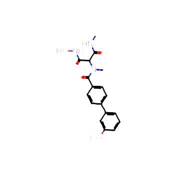 CNC(=O)C(C(=O)NO)N(C)C(=O)c1ccc(-c2cccc(O)c2)cc1